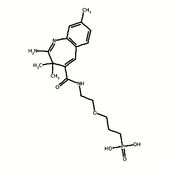 Cc1ccc2c(c1)N=C(N)C(C)(C)C(C(=O)NCCOCCCP(=O)(O)O)=C2